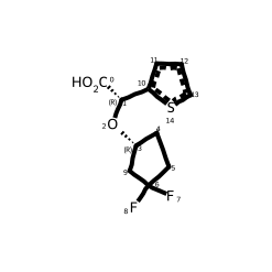 O=C(O)[C@@H](O[C@@H]1CCC(F)(F)C1)c1cccs1